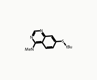 CNc1ncnc2cc(SC(C)(C)C)ccc12